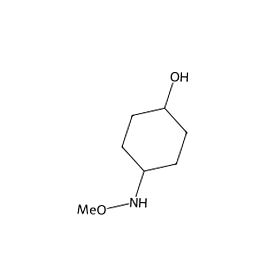 CONC1CCC(O)CC1